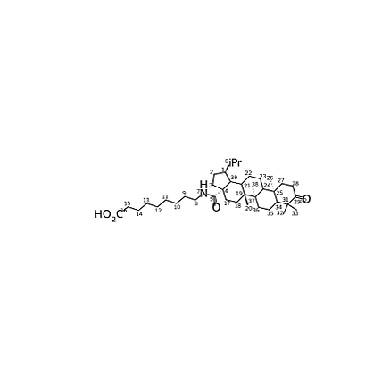 CC(C)[C@@H]1CC[C@]2(C(=O)NCCCCCCCCC(=O)O)CC[C@]3(C)C(CCC4[C@@]5(C)CCC(=O)C(C)(C)C5CC[C@]43C)C12